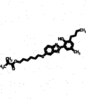 C=C(C)C(=O)OCCCCCCSc1ccc2nn(-c3cc(C)cc(CCCC)c3O)nc2c1